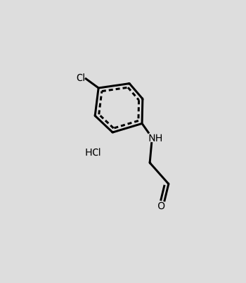 Cl.O=CCNc1ccc(Cl)cc1